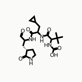 CC(C)(C)C(NC(=O)O)C(=O)NC(CC1CC1)C(=O)NC(C=O)C[C@@H]1CCNC1=O